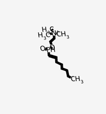 CCCCCCC=C[PH](=O)OCC[N+](C)(C)C